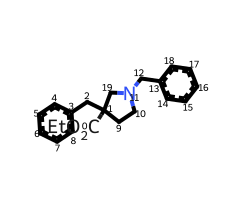 CCOC(=O)C1(Cc2ccccc2)CCN(Cc2ccccc2)C1